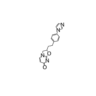 O=c1ccn2c(n1)OC(CCc1ccc(-n3ccnc3)cc1)C2